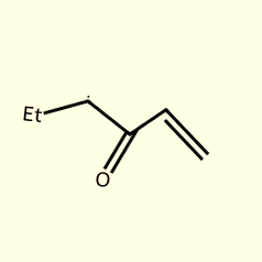 C=CC(=O)[CH]CC